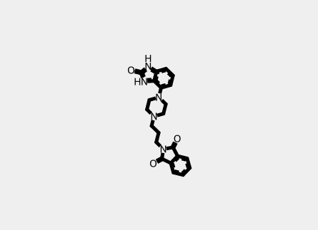 O=C1c2ccccc2C(=O)N1CCCN1CCN(c2cccc3[nH]c(=O)[nH]c23)CC1